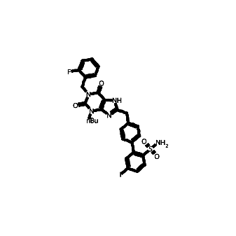 CCCCn1c(=O)n(Cc2ccccc2F)c(=O)c2[nH]c(Cc3ccc(-c4cc(I)ccc4S(N)(=O)=O)cc3)nc21